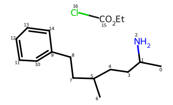 CC(N)CCC(C)CCc1ccccc1.CCOC(=O)Cl